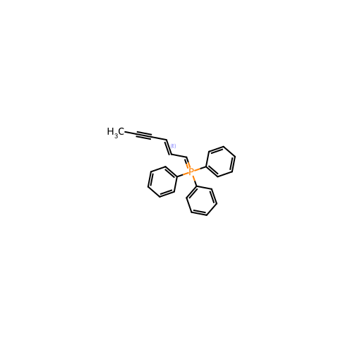 CC#C/C=C/C=P(c1ccccc1)(c1ccccc1)c1ccccc1